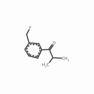 CC(C)C(=O)c1cccc(CF)c1